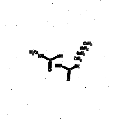 O=[Si](O)O.O=[Si](O)O.[CaH2].[CaH2].[CaH2].[CaH2].[CaH2]